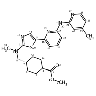 COC(=O)[C@H]1CC[C@H](CN(C)c2ncc(-c3cccc(Nc4cc(C)ccn4)n3)s2)CC1